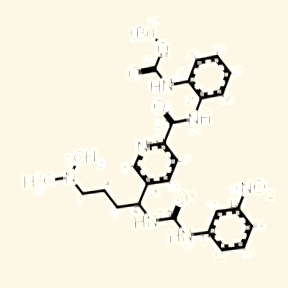 CN(C)CCCC(NC(=O)Nc1cccc([N+](=O)[O-])c1)c1ccc(C(=O)Nc2ccccc2NC(=O)OC(C)(C)C)nc1